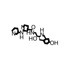 O=C(NC[C@@H](O)[C@@H]1Cc2ccc(O)cc2CN1)c1ccnc(Nc2cccnc2)c1